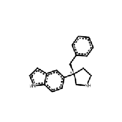 c1ccc(C[C@@]2(c3ccc4[nH]ccc4c3)CCNC2)cc1